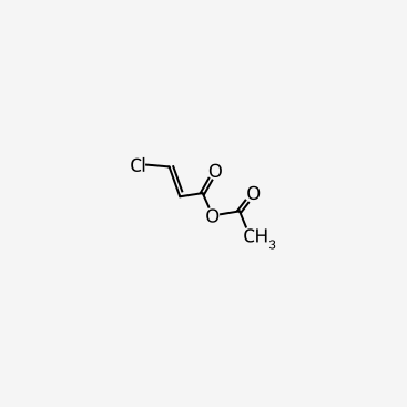 CC(=O)OC(=O)C=CCl